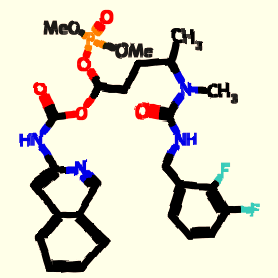 COP(=O)(OC)OC(CCC(C)N(C)C(=O)NCc1cccc(F)c1F)OC(=O)Nc1cc2ccccc2cn1